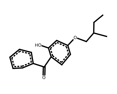 CCC(C)COc1ccc(C(=O)c2ccccc2)c(O)c1